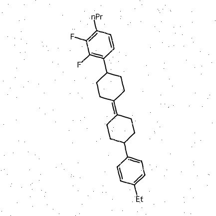 CCCc1ccc(C2CCC(=C3CCC(c4ccc(CC)cc4)CC3)CC2)c(F)c1F